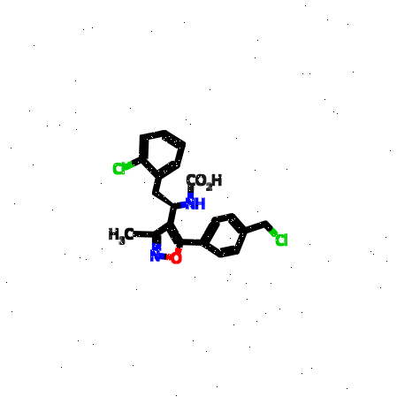 Cc1noc(-c2ccc(CCl)cc2)c1[C@@H](Cc1ccccc1Cl)NC(=O)O